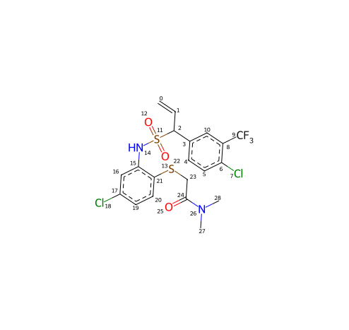 C=CC(c1ccc(Cl)c(C(F)(F)F)c1)S(=O)(=O)Nc1cc(Cl)ccc1SCC(=O)N(C)C